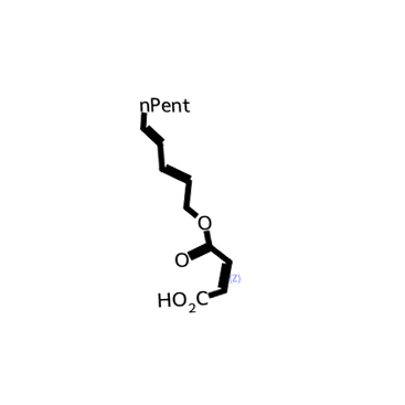 CCCCCC=CC=CCOC(=O)/C=C\C(=O)O